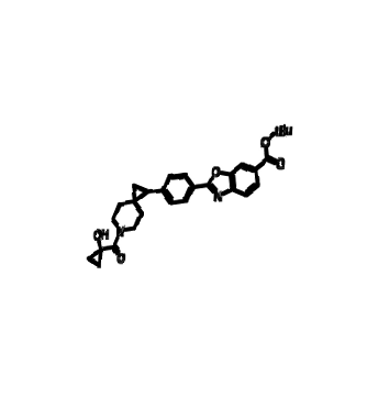 CC(C)(C)OC(=O)c1ccc2nc(-c3ccc(C4CC45CCN(C(=O)C4(O)CC4)CC5)cc3)oc2c1